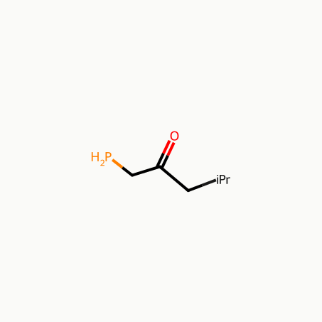 CC(C)CC(=O)CP